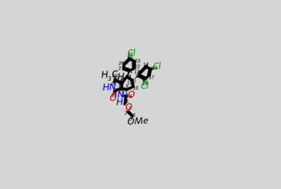 COCCOCC(=O)N[C@@]12CC[C@@H](c3ccc(Cl)cc3Cl)[C@H](c3ccc(Cl)cc3)[C@@H]1[C@@H](C)NC2=O